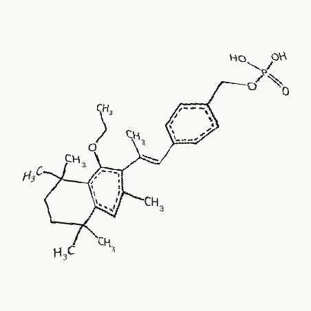 CCOc1c(C(C)=Cc2ccc(COP(=O)(O)O)cc2)c(C)cc2c1C(C)(C)CCC2(C)C